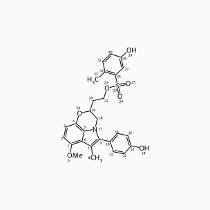 COc1ccc2c3c1c(C)c(-c1ccc(O)cc1)n3CC(CCOS(=O)(=O)c1cc(O)ccc1C)O2